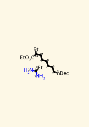 CCC(N)N.CCCCCCCCCCCCCCCCC(CC)C(=O)OCC